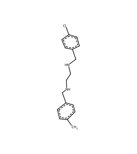 Cc1ccc(CNCCNCc2ccc(Cl)cc2)cc1